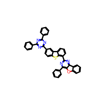 c1ccc(-c2nc(-c3ccccc3)nc(-c3ccc4sc5c(-c6nc(-c7ccccc7)c7oc8ccccc8c7n6)cccc5c4c3)n2)cc1